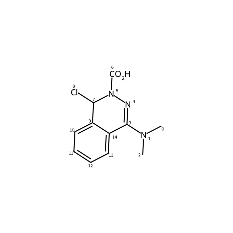 CN(C)C1=NN(C(=O)O)C(Cl)c2ccccc21